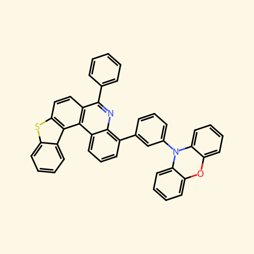 c1ccc(-c2nc3c(-c4cccc(N5c6ccccc6Oc6ccccc65)c4)cccc3c3c2ccc2sc4ccccc4c23)cc1